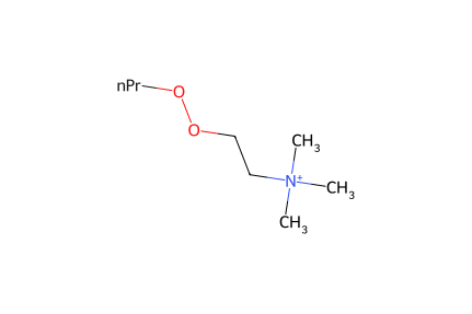 CCCOOCC[N+](C)(C)C